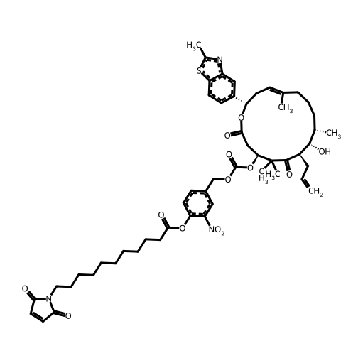 C=CC[C@H]1C(=O)C(C)(C)[C@@H](OC(=O)OCc2ccc(OC(=O)CCCCCCCCCCN3C(=O)C=CC3=O)c([N+](=O)[O-])c2)CC(=O)O[C@H](c2ccc3sc(C)nc3c2)C/C=C(\C)CCC[C@H](C)[C@@H]1O